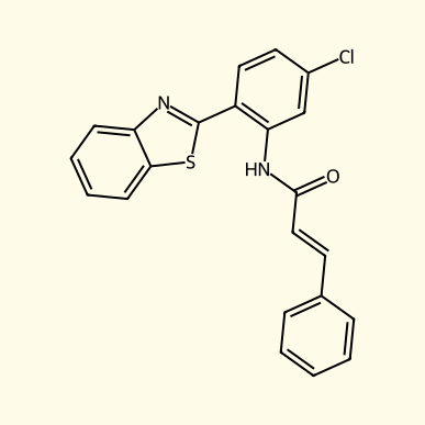 O=C(C=Cc1ccccc1)Nc1cc(Cl)ccc1-c1nc2ccccc2s1